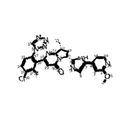 COc1cc(-c2cnc([C@H]3C[C@@H](C)c4nc(-c5c(-n6cnnn6)ccc(Cl)c5F)cc(=O)n43)[nH]2)ccn1